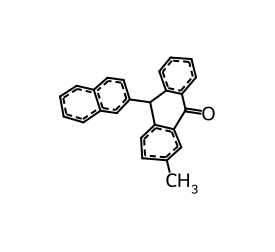 Cc1ccc2c(c1)C(=O)c1ccccc1C2c1ccc2ccccc2c1